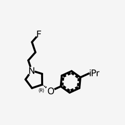 CC(C)c1ccc(O[C@@H]2CCN(CCCF)C2)cc1